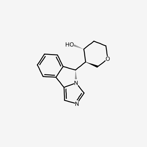 O[C@@H]1CCOC[C@H]1[C@H]1c2ccccc2-c2cncn21